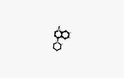 C[n+]1ccc(N2CCCCC2)c2ccccc21